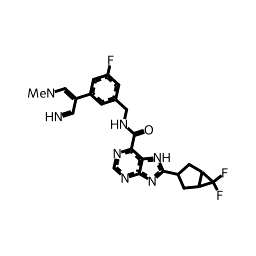 CN/C=C(\C=N)c1cc(F)cc(CNC(=O)c2ncnc3nc(C4CC5C(C4)C5(F)F)[nH]c23)c1